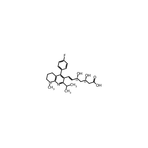 CC(C)c1nc2c(c(-c3ccc(F)cc3)c1C=C[C@@H](O)C[C@@H](O)CC(=O)O)CCCN2C